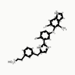 Cc1c(Oc2ccc(F)c(-c3ncc(Cc4cccc(CCC(=O)O)c4)[nH]3)c2)c(F)cc2[nH]ccc12